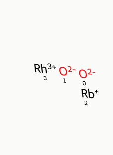 [O-2].[O-2].[Rb+].[Rh+3]